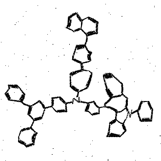 c1ccc(-c2cc(-c3ccccc3)cc(-c3ccc(N(c4ccc(-c5ccc(-c6cccc7ccccc67)cc5)cc4)c4cccc(-c5c6ccccc6cc6c5c5ccccc5n6-c5ccccc5)c4)cc3)c2)cc1